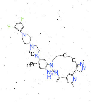 C=C1/N=C2\Nc3cc(CCC)c(N4CCN(C5CCN(c6cc(F)cc(F)c6)CC5)CC4)cc3N2CCCCCCc2c(cnn2C)-c2cc1cc(C)n2